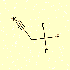 C#C[CH]C(F)(F)F